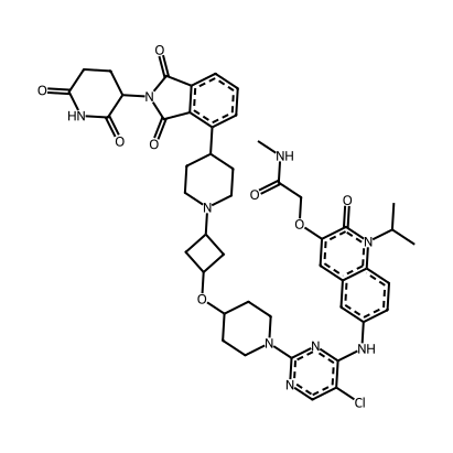 CNC(=O)COc1cc2cc(Nc3nc(N4CCC(OC5CC(N6CCC(c7cccc8c7C(=O)N(C7CCC(=O)NC7=O)C8=O)CC6)C5)CC4)ncc3Cl)ccc2n(C(C)C)c1=O